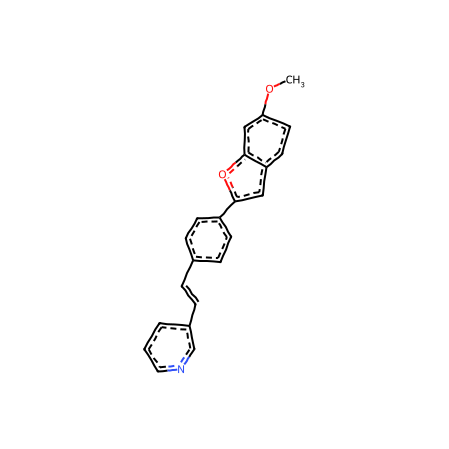 COc1ccc2cc(-c3ccc(/C=C/c4cccnc4)cc3)oc2c1